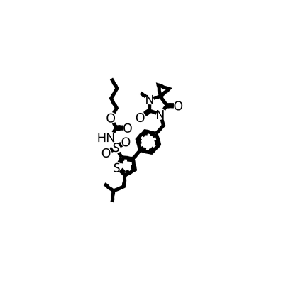 CCCCOC(=O)NS(=O)(=O)c1sc(CC(C)C)cc1-c1ccc(CN2C(=O)N(C)C3(CC3)C2=O)cc1